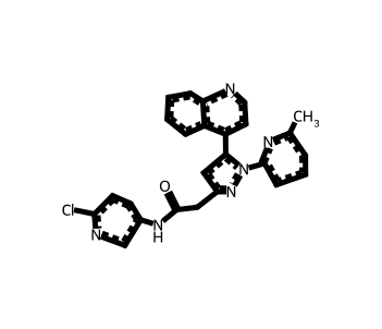 Cc1cccc(-n2nc(CC(=O)Nc3ccc(Cl)nc3)cc2-c2ccnc3ccccc23)n1